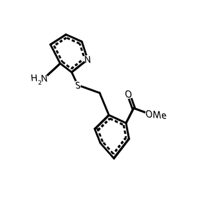 COC(=O)c1ccccc1CSc1ncccc1N